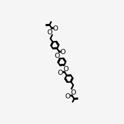 C=C(C)C(=O)OCCc1ccc(C(=O)Oc2ccc(OC(=O)c3ccc(CCOC(=O)C(=C)C)cc3)cc2)cc1